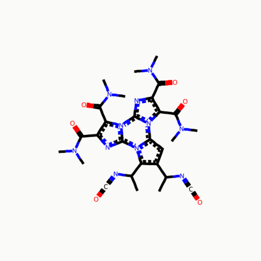 CC(N=C=O)c1cc2n3c(C(=O)N(C)C)c(C(=O)N(C)C)nc3n3c(C(=O)N(C)C)c(C(=O)N(C)C)nc3n2c1C(C)N=C=O